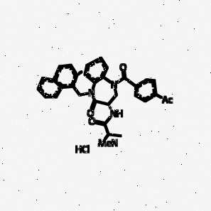 CNC(C)C(=O)N[C@H]1CN(C(=O)c2ccc(C(C)=O)cc2)c2ccccc2N(Cc2c(C)ccc3ccccc23)C1=O.Cl